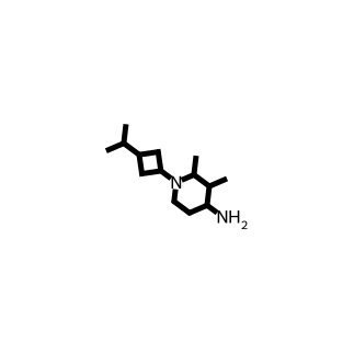 CC(C)C1CC(N2CCC(N)C(C)C2C)C1